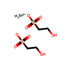 O=S(=O)([O-])CCO.O=S(=O)([O-])CCO.[SnH2+2]